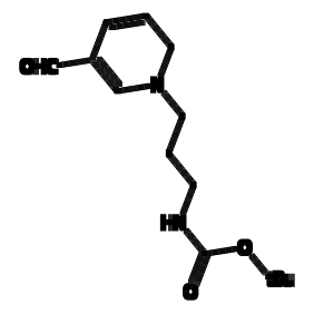 CC(C)(C)OC(=O)NCCCN1C=C(C=O)C=CC1